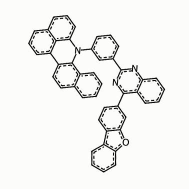 c1cc(-c2nc(-c3ccc4c(c3)oc3ccccc34)c3ccccc3n2)cc(N2c3c(ccc4ccccc34)-c3cccc4cccc2c34)c1